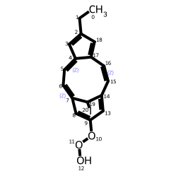 CCC1=C/C2=C/C=C3/C=C(OOO)C=C(/C=C\C2=C1)C3I